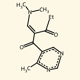 CCC(=O)C(=CN(C)C)C(=O)c1cncnc1C